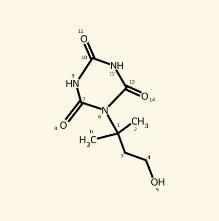 CC(C)(CCO)n1c(=O)[nH]c(=O)[nH]c1=O